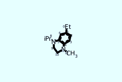 CCc1ccc2c(c1)N(C(C)C)CCN2C